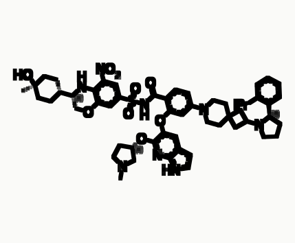 CC(C)c1ccccc1[C@H]1CCCN1C1CC2(CCN(c3ccc(C(=O)NS(=O)(=O)c4cc5c(c([N+](=O)[O-])c4)N[C@@H]([C@H]4CC[C@](C)(O)CC4)CO5)c(Oc4cc5cc[nH]c5nc4O[C@H]4CCN(C)C4)c3)CC2)C1